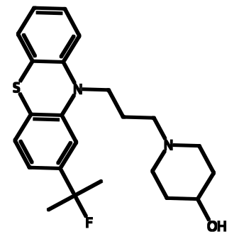 CC(C)(F)c1ccc2c(c1)N(CCCN1CCC(O)CC1)c1ccccc1S2